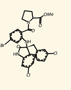 COC(=O)C1CCCN1C(=O)c1ccc(Br)cc1N[C@@]1(Cc2cccc(Cl)c2)C(=O)Nc2cc(Cl)ccc21